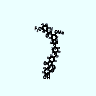 COc1cc2nn(C3CCN(Cc4ccc5c(c4)C(=O)N(N4CCC(=O)NC4=O)C5=O)CC3)cc2cc1NC(=O)c1cccc(C(F)(F)F)c1